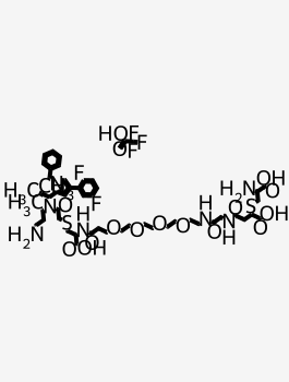 CC(C)(C)C(c1cc(-c2cc(F)ccc2F)cn1Cc1ccccc1)N(CCCN)C(=O)CSCC(NC(=O)CCOCCOCCOCCOCCNC(=O)CNC(=O)CC(SCC(N)C(=O)O)C(=O)O)C(=O)O.O=C(O)C(F)(F)F